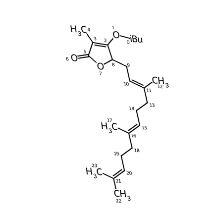 CCC(C)OC1=C(C)C(=O)OC1C/C=C(\C)CC/C=C(\C)CCC=C(C)C